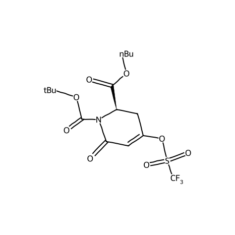 CCCCOC(=O)[C@H]1CC(OS(=O)(=O)C(F)(F)F)=CC(=O)N1C(=O)OC(C)(C)C